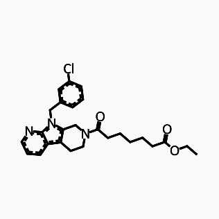 CCOC(=O)CCCCCC(=O)N1CCc2c(n(Cc3cccc(Cl)c3)c3ncccc23)C1